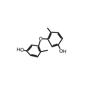 Cc1ccc(O)cc1Oc1cc(O)ccc1C